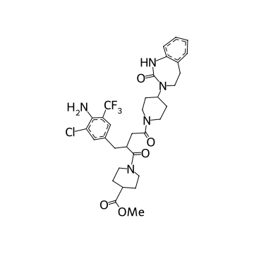 COC(=O)C1CCN(C(=O)C(CC(=O)N2CCC(N3CCc4ccccc4NC3=O)CC2)Cc2cc(Cl)c(N)c(C(F)(F)F)c2)CC1